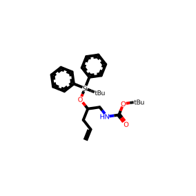 C=CCC(CNC(=O)OC(C)(C)C)O[Si](c1ccccc1)(c1ccccc1)C(C)(C)C